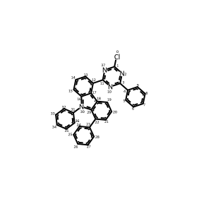 Clc1nc(-c2ccccc2)nc(-c2cccc3c2c2cccc(-c4ccccc4)c2n3-c2ccccc2)n1